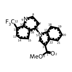 COC(=O)c1cn(-c2ccnc3c(C(F)(F)F)cccc23)c2ccccc12